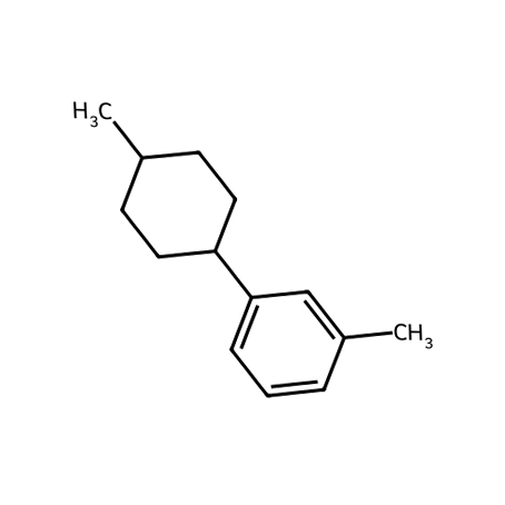 Cc1cccc(C2CCC(C)CC2)c1